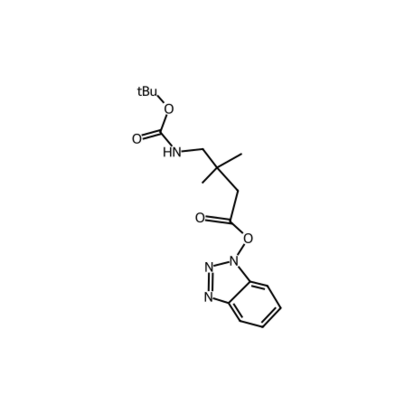 CC(C)(CNC(=O)OC(C)(C)C)CC(=O)On1nnc2ccccc21